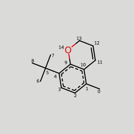 Cc1ccc(C(C)(C)C)c2c1C=CCO2